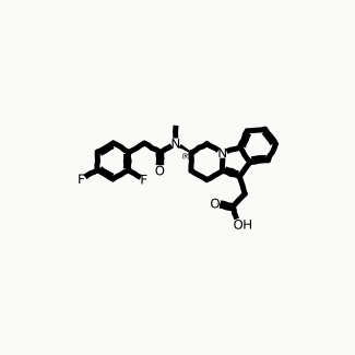 CN(C(=O)Cc1ccc(F)cc1F)[C@@H]1CCc2c(CC(=O)O)c3ccccc3n2C1